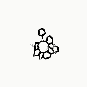 Cc1c2ccc3sc4oc5ccc6c(c5c4c13)[PH]1=C3N(C=CN36)c3cccc(c31)N2c1ccccc1